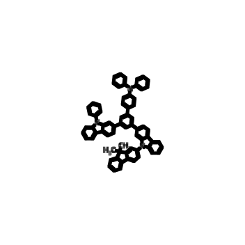 CC1(C)c2ccccc2-c2ccc(-n3c4ccccc4c4ccc(-c5cc(-c6ccc(N(c7ccccc7)c7ccccc7)cc6)cc(-c6ccc7c8ccccc8n(-c8ccccc8)c7c6)c5)cc43)cc21